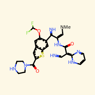 CN/C=C(/NC(=O)/C(C=N)=C1\N=CC=CN1)C(=N)c1cc2sc(C(=O)N3CCNCC3)cc2cc1OC(F)F